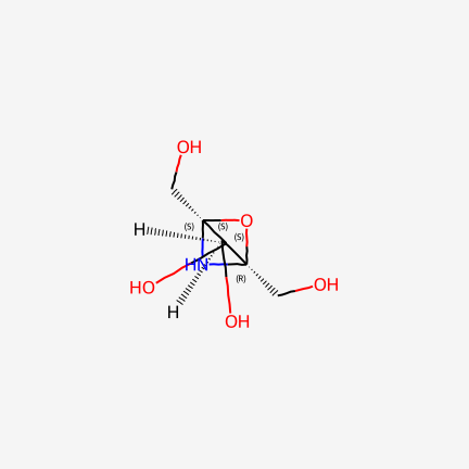 OC[C@]12N[C@](CO)(O1)[C@@H](O)[C@@H]2O